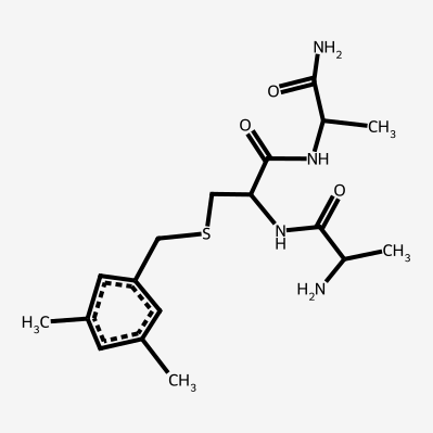 Cc1cc(C)cc(CSCC(NC(=O)C(C)N)C(=O)NC(C)C(N)=O)c1